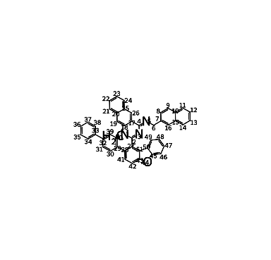 C=N/C(=N\C(=N/Cc1ccc2ccccc2c1)c1ccc2ccccc2c1)c1c(-c2ccc(-c3ccccc3)cc2)ccc2oc3ccccc3c12